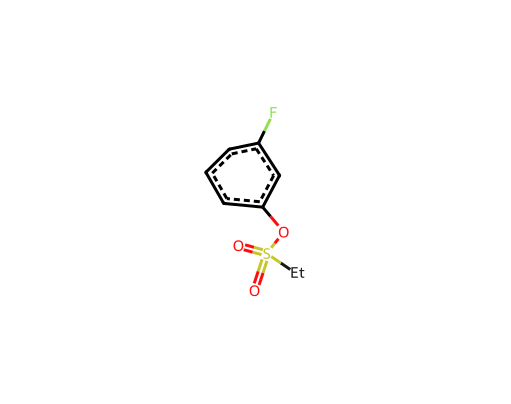 CCS(=O)(=O)Oc1cccc(F)c1